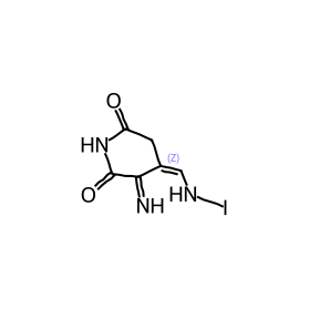 N=C1C(=O)NC(=O)C/C1=C/NI